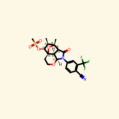 C[C@@H]1[C@H](OS(C)(=O)=O)[C@@]23CCO[C@H]4[C@@H]2[C@H](C(=O)N4c2ccc(C#N)c(C(F)(F)F)c2)[C@]1(C)O3